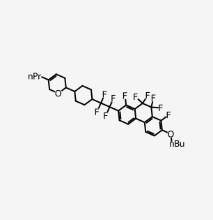 CCCCOc1ccc2c(c1F)C(F)(F)C(F)(F)c1c-2ccc(C(F)(F)C(F)(F)C2CCC(C3CC=C(CCC)CO3)CC2)c1F